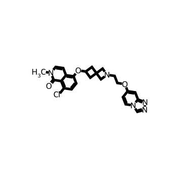 Cn1ccc2c(OC3CC4(C3)CN(CCOc3ccn5cnnc5c3)C4)ccc(Cl)c2c1=O